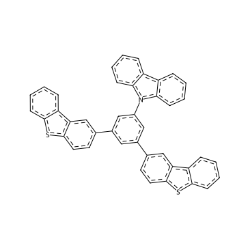 c1ccc2c(c1)sc1ccc(-c3cc(-c4ccc5sc6ccccc6c5c4)cc(-n4c5ccccc5c5ccccc54)c3)cc12